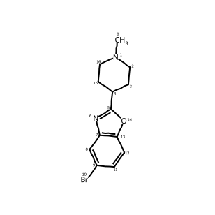 CN1CCC(c2nc3cc(Br)ccc3o2)CC1